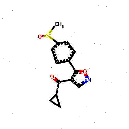 C[S+]([O-])c1ccc(-c2oncc2C(=O)C2CC2)cc1